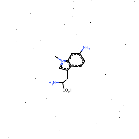 Cn1cc(CC(N)C(=O)O)c2ccc(N)cc21